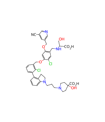 N#Cc1cncc(COc2cc(OCc3cccc(-c4cccc5c4CCN5CCCN4CCC(O)(C(=O)O)CC4)c3Cl)c(Cl)cc2CNC(CO)C(=O)O)c1